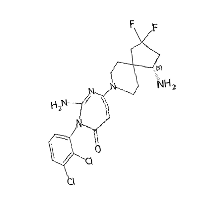 Nc1nc(N2CCC3(CC2)CC(F)(F)C[C@@H]3N)cc(=O)n1-c1cccc(Cl)c1Cl